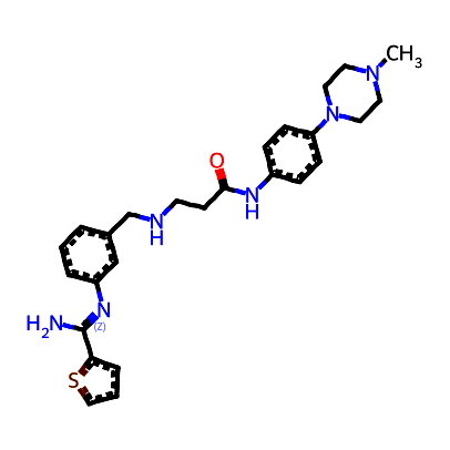 CN1CCN(c2ccc(NC(=O)CCNCc3cccc(/N=C(\N)c4cccs4)c3)cc2)CC1